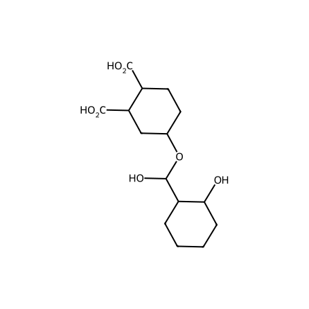 O=C(O)C1CCC(OC(O)C2CCCCC2O)CC1C(=O)O